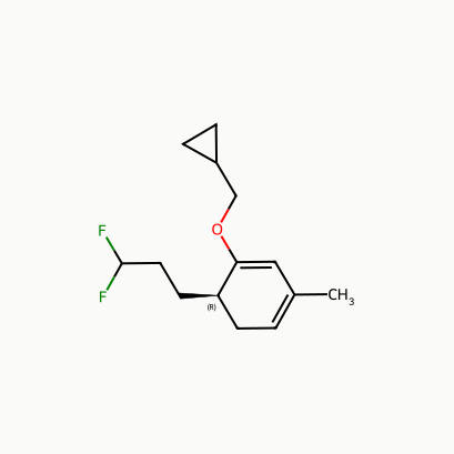 CC1=CC[C@@H](CCC(F)F)C(OCC2CC2)=C1